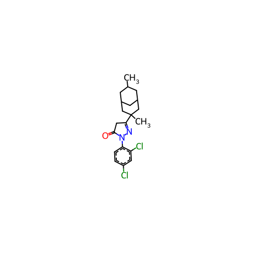 CC1CC2CC(C1)CC(C)(C1=NN(c3ccc(Cl)cc3Cl)C(=O)C1)C2